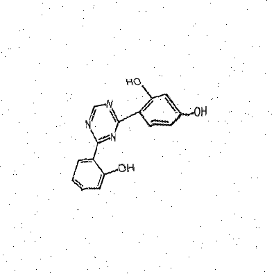 Oc1ccc(-c2ncnc(-c3ccccc3O)n2)c(O)c1